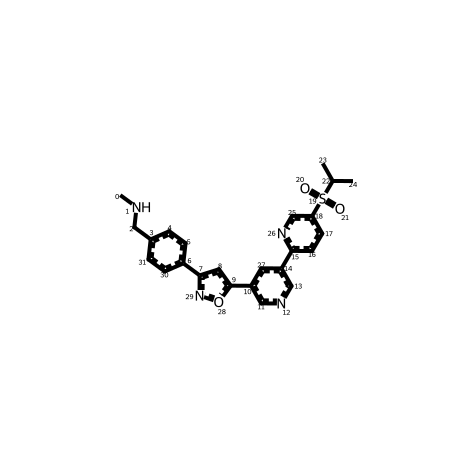 CNCc1ccc(-c2cc(-c3cncc(-c4ccc(S(=O)(=O)C(C)C)cn4)c3)on2)cc1